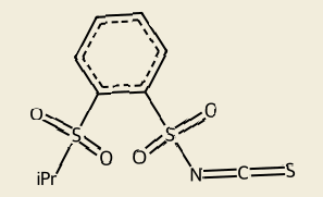 CC(C)S(=O)(=O)c1ccccc1S(=O)(=O)N=C=S